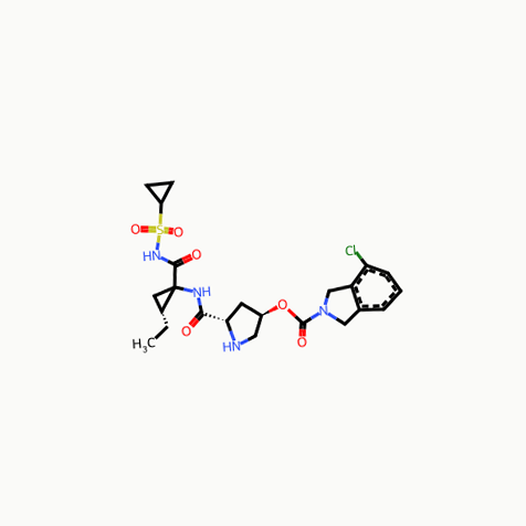 CC[C@@H]1CC1(NC(=O)[C@@H]1C[C@@H](OC(=O)N2Cc3cccc(Cl)c3C2)CN1)C(=O)NS(=O)(=O)C1CC1